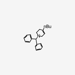 CCCCC1=CCN(C(c2ccccc2)c2ccccc2)CC1